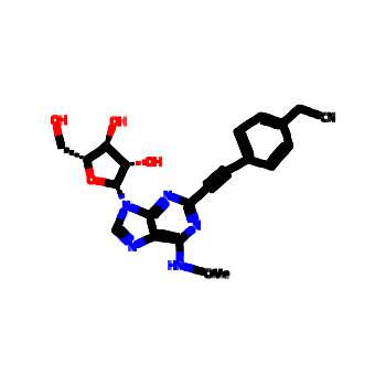 CONc1nc(C#Cc2ccc(CC#N)cc2)nc2c1ncn2[C@@H]1O[C@H](CO)[C@@H](O)[C@@H]1O